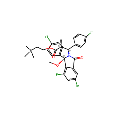 CO[C@]1(c2ccc(Cl)cc2)c2c(F)cc(Br)cc2C(=O)N1[C@H](c1ccc(Cl)cc1)[C@H](C)C(=O)OCC[Si](C)(C)C